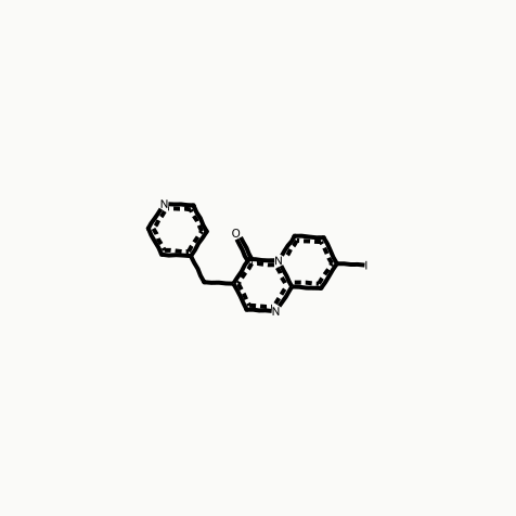 O=c1c(Cc2ccncc2)cnc2cc(I)ccn12